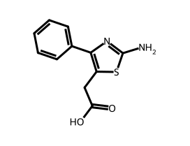 Nc1nc(-c2ccccc2)c(CC(=O)O)s1